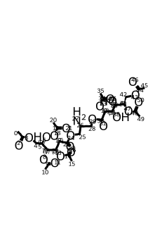 CC(=O)OC[C@@H](O)[C@@H](OC(C)=O)[C@H](OC(C)=O)[C@@H](OC(C)=O)C(=O)OCC(N)COC(=O)[C@H](OC(C)=O)[C@@H](O)[C@H](O)[C@@H](COC(C)=O)OC(C)=O